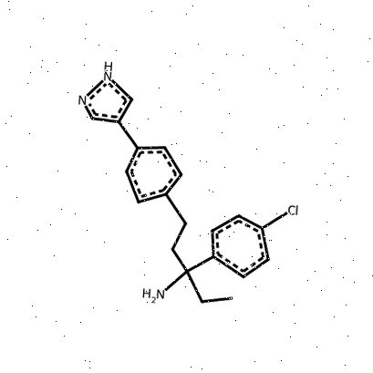 CCC(N)(CCc1ccc(-c2cn[nH]c2)cc1)c1ccc(Cl)cc1